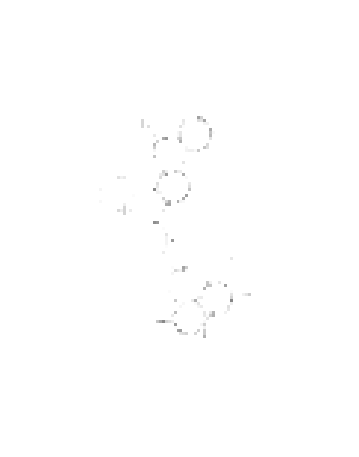 NC(=O)c1ccccc1-c1ccc(C(CN2CCOCC2)NCC(=O)Cn2c(=O)cnc3cc(Cl)c(Cl)cc32)cc1